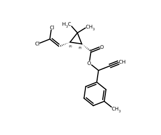 C#CC(OC(=O)[C@@H]1[C@H](C=C(Cl)Cl)C1(C)C)c1cccc(C)c1